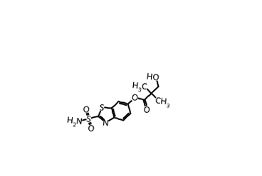 CC(C)(CO)C(=O)Oc1ccc2nc(S(N)(=O)=O)sc2c1